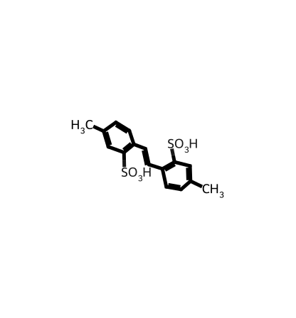 Cc1ccc(C=Cc2ccc(C)cc2S(=O)(=O)O)c(S(=O)(=O)O)c1